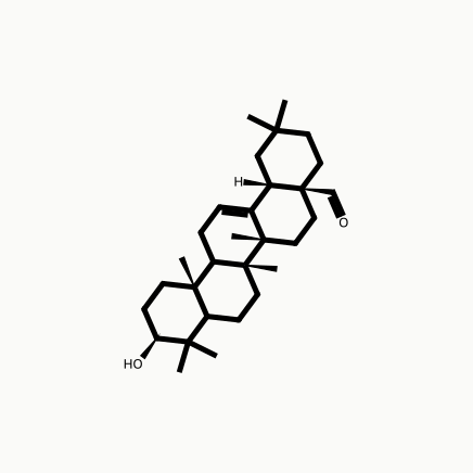 CC1(C)CC[C@]2(C=O)CC[C@@]3(C)C(=CCC4[C@@]5(C)CC[C@H](O)C(C)(C)C5CC[C@]43C)[C@@H]2C1